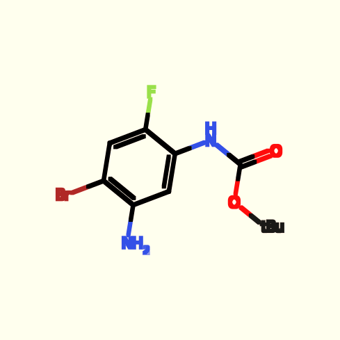 CC(C)(C)OC(=O)Nc1cc(N)c(Br)cc1F